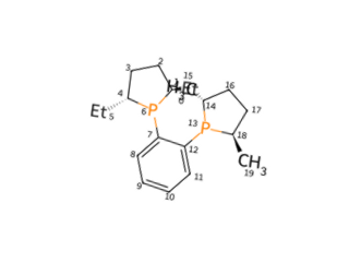 CC[C@@H]1CC[C@@H](CC)P1c1ccccc1P1[C@H](C)CC[C@H]1C